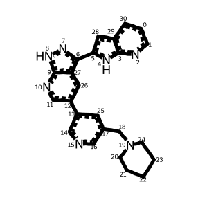 c1cnc2[nH]c(-c3n[nH]c4ncc(-c5cncc(CN6CCCCC6)c5)cc34)cc2c1